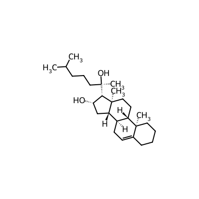 CC(C)CCC[C@@](C)(O)[C@H]1[C@@H](O)C[C@H]2[C@@H]3CC=C4CCCC[C@]4(C)[C@H]3CC[C@@]21C